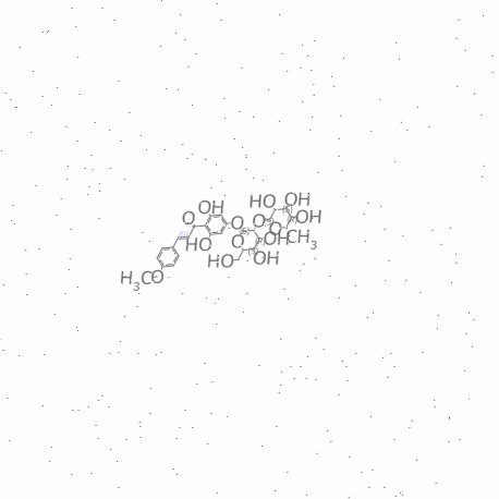 COc1ccc(/C=C/C(=O)c2c(O)cc(O[C@@H]3OC(CO)[C@@H](O)[C@@H](O)C3O[C@@H]3OC(C)[C@H](O)[C@H](O)C3O)cc2O)cc1